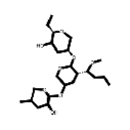 CCCC(OC)[C@@H]1CC(OC2OCC(C)CC2O)COC1O[C@@H]1CO[C@H](CC)C(O)C1